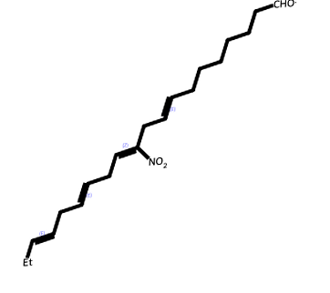 CC/C=C/C/C=C/C/C=C(/C/C=C/CCCCCC[C]=O)[N+](=O)[O-]